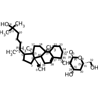 C#C[C@@]12CCC([C@H](C)CCCC(C)(C)O)[C@@]1(C)CC[C@@]1(C)C3CC[C@H](O[C@H]4C[C@@H](O)C[C@@H](CO)O4)[C@H](C)C3=CCC12